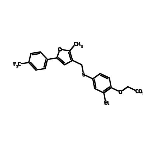 CCc1cc(SCc2cc(-c3ccc(C(F)(F)F)cc3)oc2C)ccc1OCC(=O)O